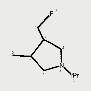 CC1CN(C(C)C)CC1CF